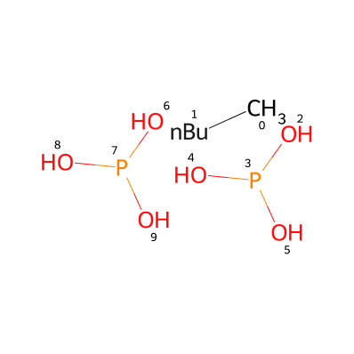 CCCCC.OP(O)O.OP(O)O